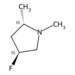 C[C@H]1C[C@H](F)CN1C